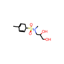 CC1=CCC(S(=O)(=O)N(C)CC(O)CO)C=C1